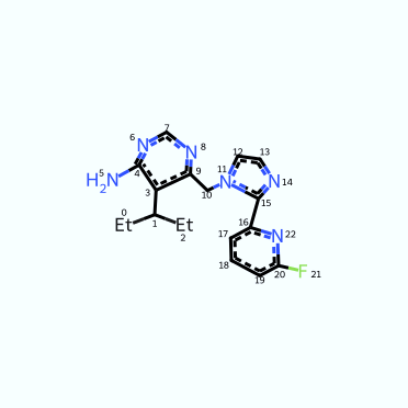 CCC(CC)c1c(N)ncnc1Cn1ccnc1-c1cccc(F)n1